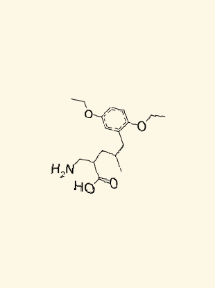 CCOc1ccc(OCC)c(CC(C)CC(CN)C(=O)O)c1